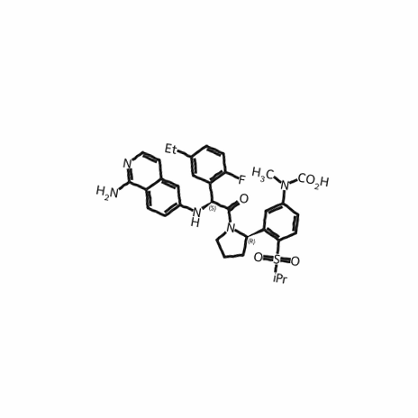 CCc1ccc(F)c([C@H](Nc2ccc3c(N)nccc3c2)C(=O)N2CCC[C@@H]2c2cc(N(C)C(=O)O)ccc2S(=O)(=O)C(C)C)c1